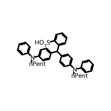 CCCCCN(c1ccccc1)c1ccc(C(c2ccc(N(CCCCC)c3ccccc3)cc2)c2ccccc2S(=O)(=O)O)cc1